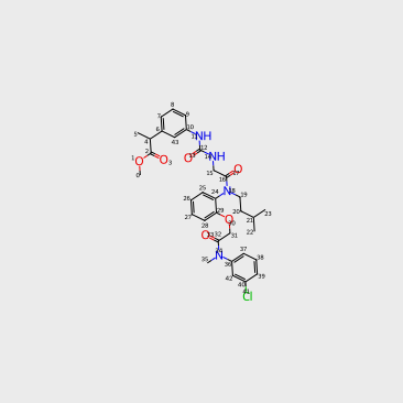 COC(=O)C(C)c1cccc(NC(=O)NCC(=O)N(CCC(C)C)c2ccccc2OCC(=O)N(C)c2cccc(Cl)c2)c1